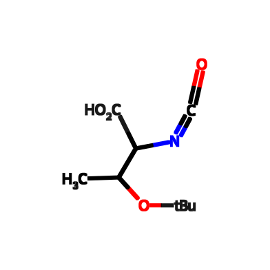 CC(OC(C)(C)C)C(N=C=O)C(=O)O